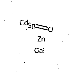 [Cd].[Ga].[O]=[Sn].[Zn]